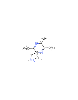 COC1=N[C@@](C)(CN)C(OC)=NC1C(C)C